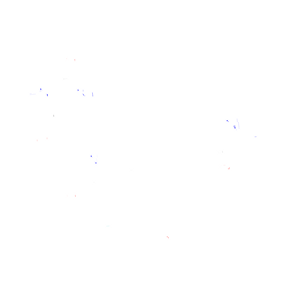 COc1c(F)cc2c(c1F)C(=O)N(C[C@@]1(C#Cc3ccc(C(N)=O)cc3)NC(=O)NC1=O)C2